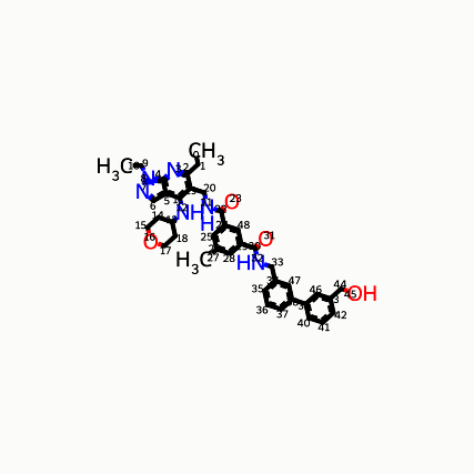 CCc1nc2c(cnn2CC)c(NC2CCOCC2)c1CNC(=O)c1cc(C)cc(C(=O)NCc2cccc(-c3cccc(CO)c3)c2)c1